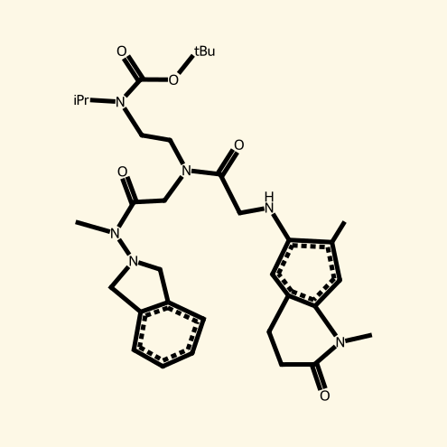 Cc1cc2c(cc1NCC(=O)N(CCN(C(=O)OC(C)(C)C)C(C)C)CC(=O)N(C)N1Cc3ccccc3C1)CCC(=O)N2C